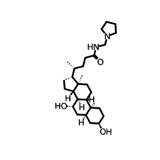 C[C@H](CCC(=O)NCN1CCCC1)[C@H]1CC[C@H]2[C@@H]3[C@@H](O)C[C@@H]4C[C@H](O)CC[C@]4(C)[C@H]3CC[C@]12C